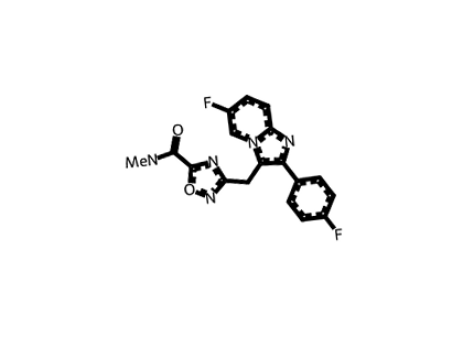 CNC(=O)c1nc(Cc2c(-c3ccc(F)cc3)nc3ccc(F)cn23)no1